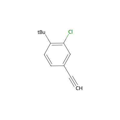 C#Cc1ccc(C(C)(C)C)c(Cl)c1